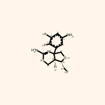 NC1=NC2(c3cc(N)cc(F)c3F)CO[C@H](CF)[C@H]2CS1